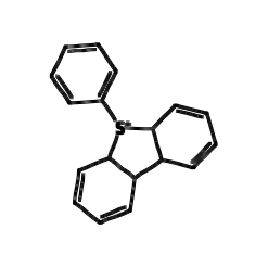 C1=CC2C3C=CC=CC3[S+](c3ccccc3)C2C=C1